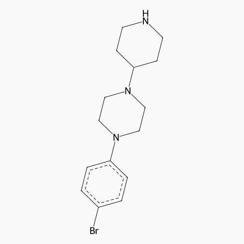 Brc1ccc(N2CCN(C3CCNCC3)CC2)cc1